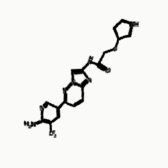 Nc1ncc(-c2ccc3nc(NC(=O)COC4CCNC4)cn3n2)cc1C(F)(F)F